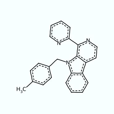 Cc1ccc(Cn2c3ccccc3c3ccnc(-c4ccccn4)c32)cc1